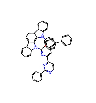 C1=CC2c3ccc4c5ccccc5n(-c5cccc(-c6ccccc6)c5)c4c3N(c3nc(-c4ccnc(-c5ccccc5)n4)cc4ccccc34)C2C=C1